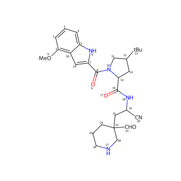 COc1cccc2[nH]c(C(=O)N3CC(C(C)(C)C)CC3C(=O)NC(C#N)CC3(C=O)CCCNC3)cc12